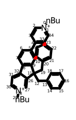 CCCC[n+]1ccc(-c2ccc3c(c2)C(Cc2ccccc2)(Cc2ccccc2)c2c[n+](CCCC)ccc2-3)cc1